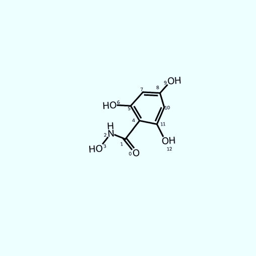 O=C(NO)c1c(O)cc(O)cc1O